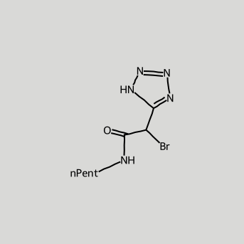 CCCCCNC(=O)C(Br)c1nnn[nH]1